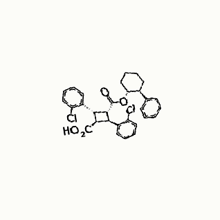 O=C(O)[C@H]1[C@H](c2ccccc2Cl)[C@H](C(=O)O[C@@H]2CCCC[C@H]2c2ccccc2)[C@H]1c1ccccc1Cl